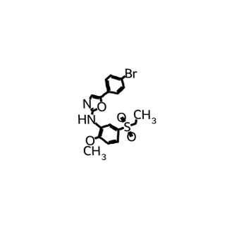 CCS(=O)(=O)c1ccc(OC)c(Nc2ncc(-c3ccc(Br)cc3)o2)c1